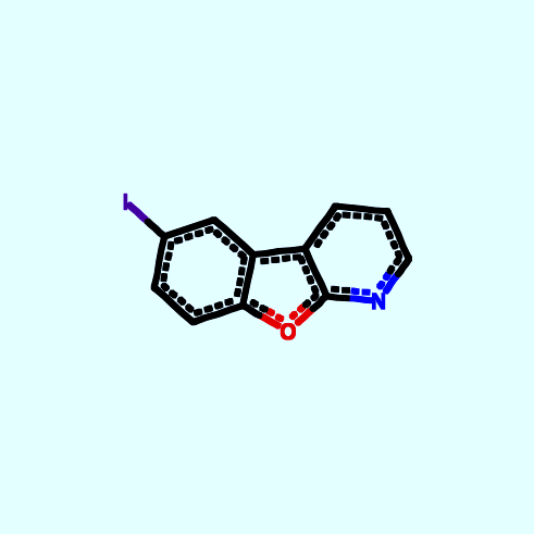 Ic1ccc2oc3ncccc3c2c1